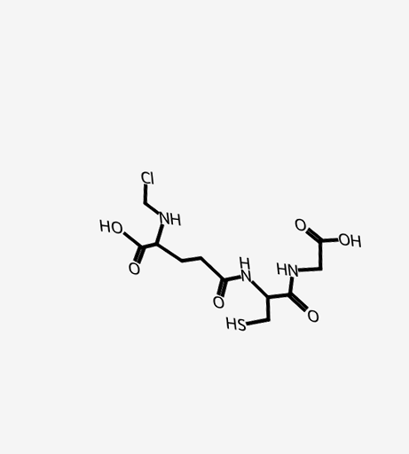 O=C(O)CNC(=O)C(CS)NC(=O)CCC(NCCl)C(=O)O